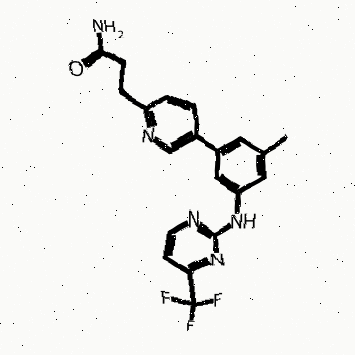 Cc1cc(Nc2nccc(C(F)(F)F)n2)cc(-c2ccc(CCC(N)=O)nc2)c1